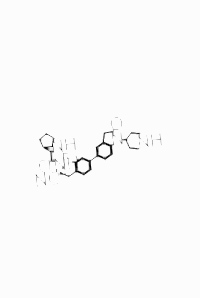 N#C[C@H](Cc1ccc(-c2ccc3c(c2)CC(=O)N3C2CCNCC2)cc1F)NC(=O)C1NC2CCC1C2